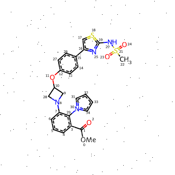 COC(=O)c1cccc(N2CC(Oc3ccc(-c4csc(NS(C)(=O)=O)n4)cc3)C2)c1-n1cccc1